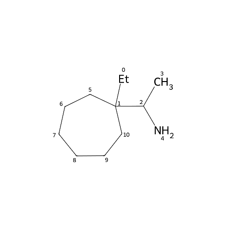 CCC1(C(C)N)CCCCCC1